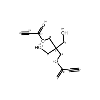 C#CC(=C)OCC(CO)(CO)COC(=O)C#C